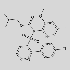 COc1nc(C)cnc1N(C(=O)OCC(C)C)S(=O)(=O)c1cccnc1-c1ccc(Cl)cc1